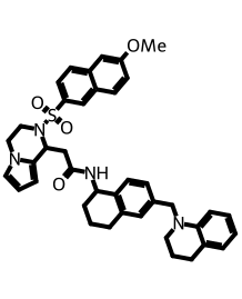 COc1ccc2cc(S(=O)(=O)N3CCn4cccc4C3CC(=O)NC3CCCc4cc(CN5CCCc6ccccc65)ccc43)ccc2c1